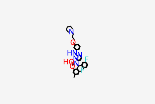 Cc1cc(C)c(C(c2cc(F)ccc2F)N(C(=O)O)c2ccnc(Nc3cccc(OCCCN4CCCCC4)c3)n2)c(C)c1